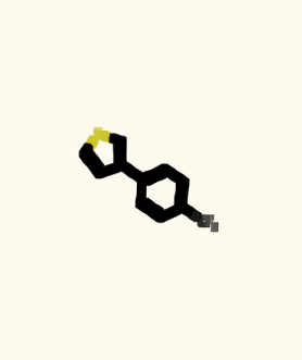 FC(F)(F)c1ccc(-c2ccsc2)cc1